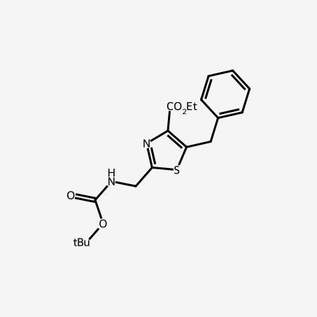 CCOC(=O)c1nc(CNC(=O)OC(C)(C)C)sc1Cc1ccccc1